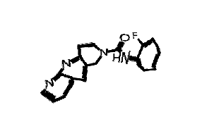 O=C(Nc1ccccc1F)N1CCc2nc3ncccc3cc2C1